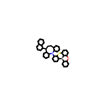 c1ccc2c(c1)CCC(c1cccc3ccccc13)c1ccccc1N2c1cccc2c1Sc1cccc3c1B2c1ccccc1O3